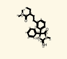 CCC(CCc1cccc(C2(c3ccccc3)NC(=N)N(C)C2=O)c1)C(=O)N(C)C